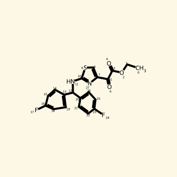 CCOC(=O)C(=O)c1csc(NC(c2ccc(F)cc2)c2ccc(F)cc2)n1